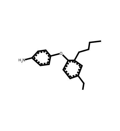 CCCCc1cc(CC)ccc1Oc1ccc(N)cc1